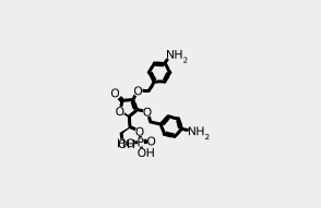 Nc1ccc(COC2=C(OCc3ccc(N)cc3)[C@@H]([C@H](CO)OP(=O)(O)O)OC2=O)cc1